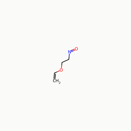 C=COCCN=O